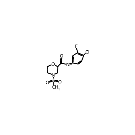 CS(=O)(=O)N1CCOC(C(=O)Nc2ccc(Cl)c(F)c2)C1